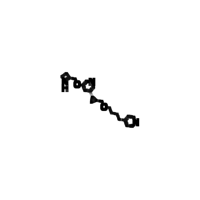 c1cc(CCCCOC[C@H]2C[C@@H]2c2cncc(OC[C@@H]3CCN3)c2)ccn1